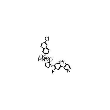 CCCc1ccncc1-c1ccc(N2CC[C@H](NS(=O)(=O)c3ccc4cc(Cl)ccc4c3)C2=O)c(F)c1